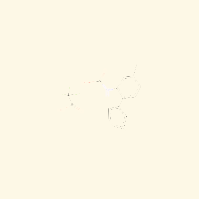 Cc1cccc(-c2ccc(C)cc2NC(=O)O)c1.O=C(O)C(F)(F)F